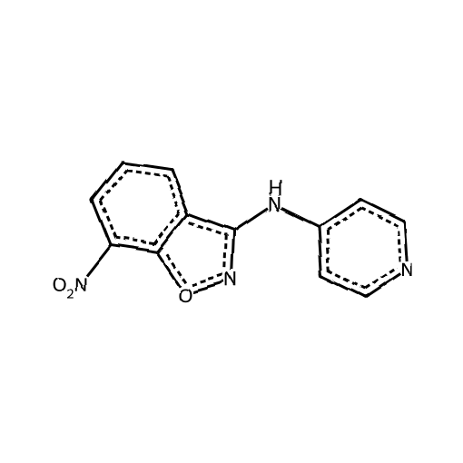 O=[N+]([O-])c1cccc2c(Nc3ccncc3)noc12